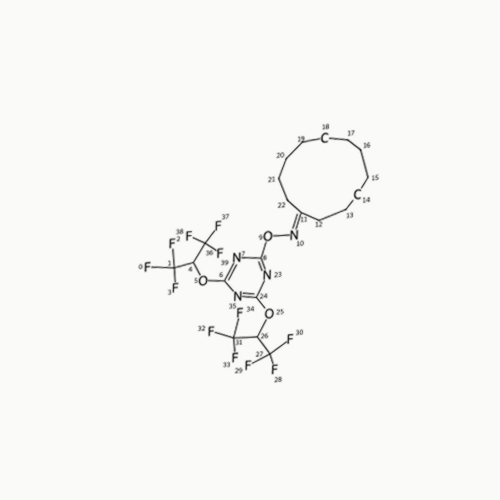 FC(F)(F)C(Oc1nc(ON=C2CCCCCCCCCCC2)nc(OC(C(F)(F)F)C(F)(F)F)n1)C(F)(F)F